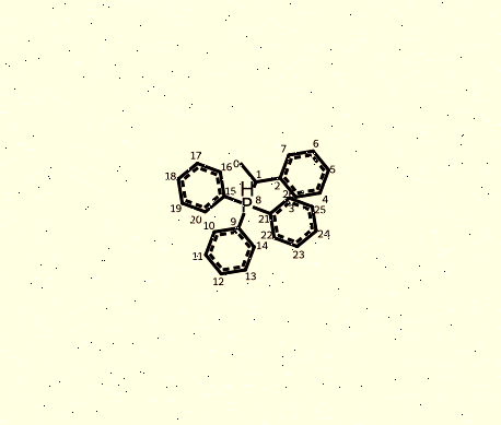 CC(c1ccccc1)[PH](c1ccccc1)(c1ccccc1)c1ccccc1